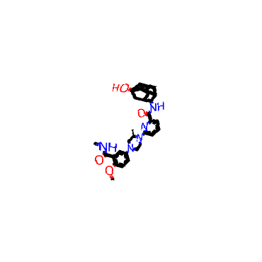 CNC(=O)c1cc(N2CCN(c3cccc(C(=O)NC4C5CC6CC4CC(O)(C6)C5)n3)[C@H](C)C2)ccc1OC